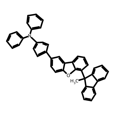 CC1(c2cccc3c2oc2ccc(-c4ccc(N(c5ccccc5)c5ccccc5)cc4)cc23)c2ccccc2-c2ccccc21